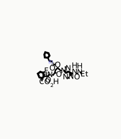 CCNC(=O)Nc1ncnc2c1ncn2C1OC(CNC(=O)c2c(F)cccc2C(=O)O)C2O[C@H](/C=C/c3ccccc3)OC21